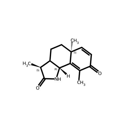 CC1=C2[C@@H]3NC(=O)[C@@H](C)C3CC[C@@]2(C)C=CC1=O